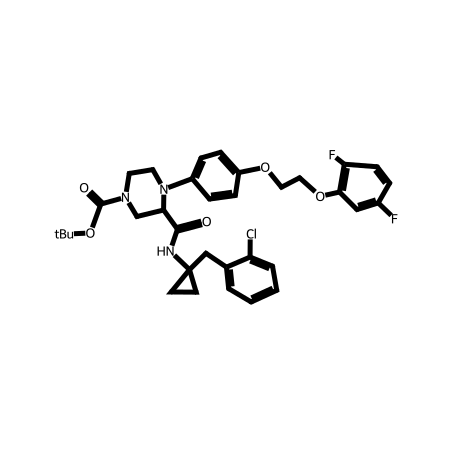 CC(C)(C)OC(=O)N1CCN(c2ccc(OCCOc3cc(F)ccc3F)cc2)C(C(=O)NC2(Cc3ccccc3Cl)CC2)C1